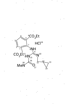 CCOC(=O)c1cccc(C(=O)OCC)c1NC(=NCC1CC1)NC(=O)NC.Cl